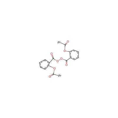 CC(C)C(=O)Oc1ccccc1C(=O)OOC(=O)c1ccccc1OC(=O)C(C)C